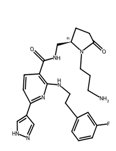 NCCCN1C(=O)CC[C@@H]1CNC(=O)c1ccc(-c2cn[nH]c2)nc1NCCc1cccc(F)c1